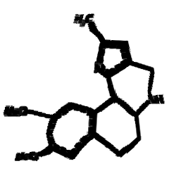 COc1cc2c(cc1OC)C1c3sc(C)cc3CNC1CC2